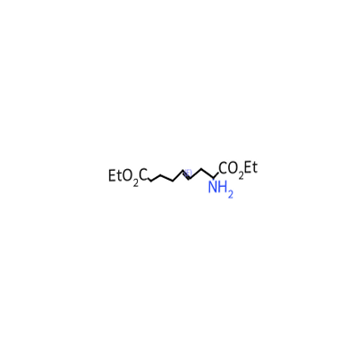 CCOC(=O)CCC/C=C/CC(N)C(=O)OCC